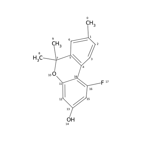 Cc1ccc2c(c1)C(C)(C)Oc1cc(O)cc(F)c1-2